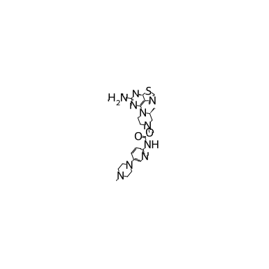 C[C@H]1CN(OC(=O)Nc2ccc(N3CCN(C)CC3)cn2)CCN1c1nc(N)nc2scnc12